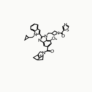 COc1cc(C(=O)N2CC3CC4CC2[C@H]43)cc2nc(-c3cc4ccccc4n3CC3CC3)n(CC3CN(C(=O)c4cncs4)C3)c12